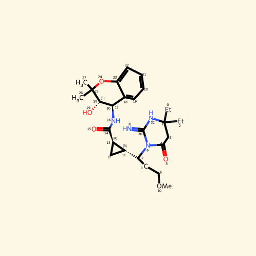 CCC1(CC)CC(=O)N(C(CCOC)[C@@H]2C[C@H]2C(=O)N[C@@H]2c3ccccc3OC(C)(C)[C@H]2O)C(=N)N1